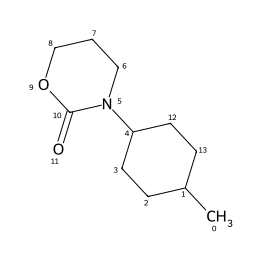 CC1CCC(N2CCCOC2=O)CC1